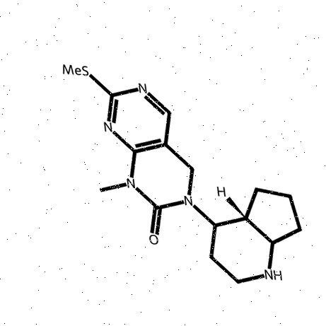 CSc1ncc2c(n1)N(C)C(=O)N(C1CCNC3CCC[C@H]31)C2